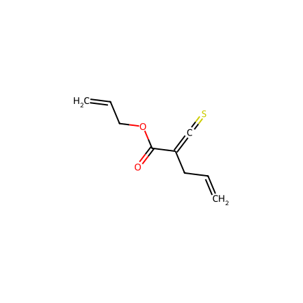 C=CCOC(=O)C(=C=S)CC=C